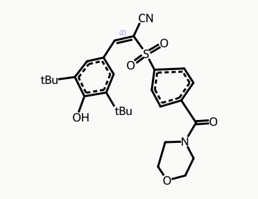 CC(C)(C)c1cc(/C=C(/C#N)S(=O)(=O)c2ccc(C(=O)N3CCOCC3)cc2)cc(C(C)(C)C)c1O